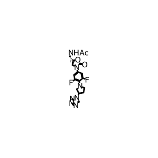 CC(=O)NC[C@H]1CN(c2cc(F)c(N3CCC(n4cnnn4)C3)c(F)c2)C(=O)O1